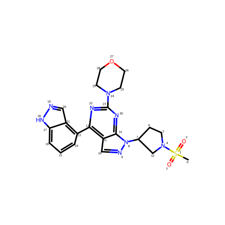 CS(=O)(=O)N1CCC(n2ncc3c(-c4cccc5[nH]ncc45)nc(N4CCOCC4)nc32)C1